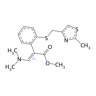 COC(=O)/C(=C/N(C)C)c1ccccc1SCc1csc(C)n1